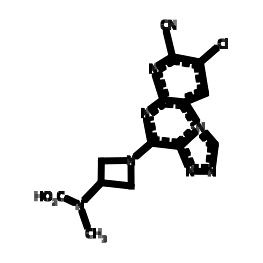 CN(C(=O)O)C1CN(c2nc3nc(C#N)c(Cl)cc3n3cnnc23)C1